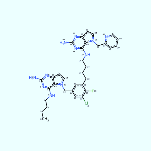 CCCCNc1nc(N)nc2ccn(Cc3cc(Cl)c(F)c(CCCCNc4nc(N)nc5ccn(Cc6ccccn6)c45)c3)c12